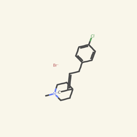 C[N+]12CCC(CC1)C(=CCc1ccc(Cl)cc1)C2.[Br-]